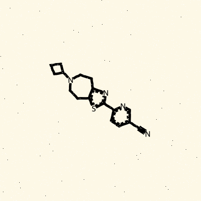 N#Cc1ccc(-c2nc3c(s2)CCN(C2CCC2)CC3)nc1